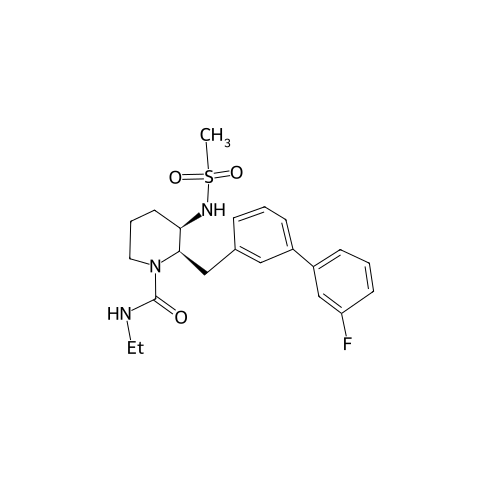 CCNC(=O)N1CCC[C@@H](NS(C)(=O)=O)[C@H]1Cc1cccc(-c2cccc(F)c2)c1